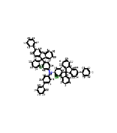 Brc1ccccc1C1(c2ccc(N(c3ccc(-c4ccccc4)cc3)c3ccc(C4(c5ccccc5Br)c5ccccc5-c5cc(-c6ccccc6)ccc54)cc3)cc2)c2ccccc2-c2cc(-c3ccccc3)ccc21